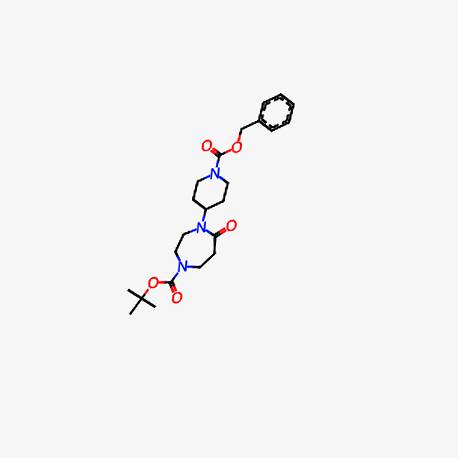 CC(C)(C)OC(=O)N1CCC(=O)N(C2CCN(C(=O)OCc3ccccc3)CC2)CC1